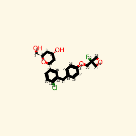 OC[C@@H]1C[C@H](O)C[C@H](c2ccc(Cl)c(Cc3ccc(OCC4(F)COC4)cc3)c2)O1